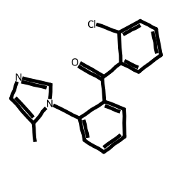 Cc1cncn1-c1ccccc1C(=O)c1ccccc1Cl